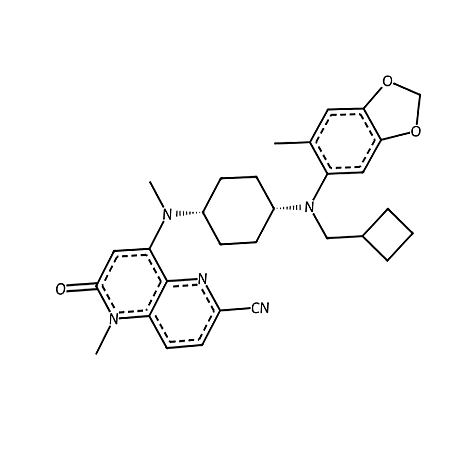 Cc1cc2c(cc1N(CC1CCC1)[C@H]1CC[C@@H](N(C)c3cc(=O)n(C)c4ccc(C#N)nc34)CC1)OCO2